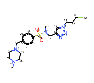 CN1CCN(Cc2ccc(S(=O)(=O)N(C)Cc3cn(CCCF)nn3)cc2)CC1